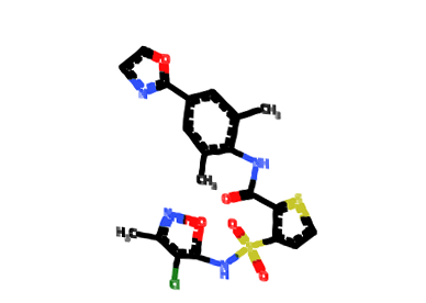 Cc1cc(-c2ncco2)cc(C)c1NC(=O)c1sccc1S(=O)(=O)Nc1onc(C)c1Cl